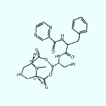 CC(C)CC(NC(=O)C(Cc1ccccc1)NC(=O)c1cnccn1)B1OC(=O)[C@H]2CNC[C@@H](C(=O)O1)N2C